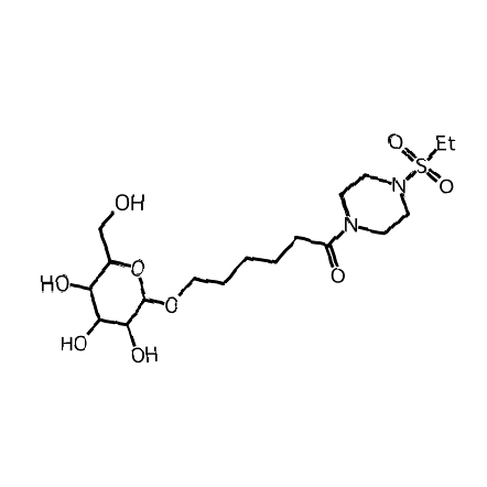 CCS(=O)(=O)N1CCN(C(=O)CCCCCOC2OC(CO)C(O)C(O)C2O)CC1